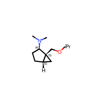 CC(C)OC[C@@]12C[C@@H]1CC[C@H]2N(C)C